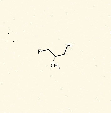 CC(C)C[C@H](C)CF